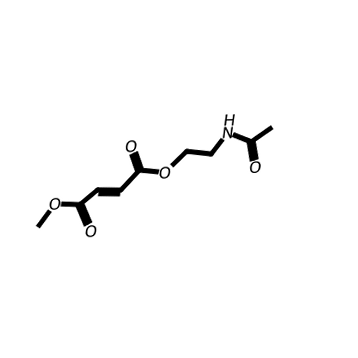 COC(=O)C=CC(=O)OCCNC(C)=O